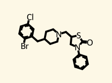 O=C1SC(CN2CCC(Cc3cc(Cl)ccc3Br)CC2)CN1c1ccccc1